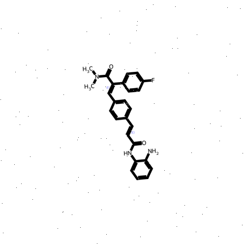 CN(C)C(=O)/C(=C/c1ccc(/C=C/C(=O)Nc2ccccc2N)cc1)c1ccc(F)cc1